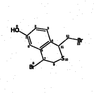 Oc1ccc2c(c1)C(Br)CSC2CBr